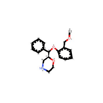 CCOCc1ccccc1OC(c1ccccc1)[C@@H]1CNCCO1